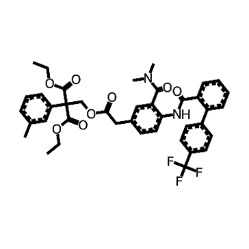 CCOC(=O)C(COC(=O)Cc1ccc(NC(=O)c2ccccc2-c2ccc(C(F)(F)F)cc2)c(C(=O)N(C)C)c1)(C(=O)OCC)c1cccc(C)c1